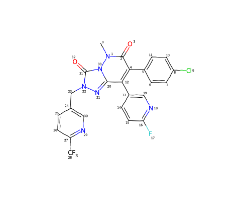 Cn1c(=O)c(-c2ccc(Cl)cc2)c(-c2ccc(F)nc2)c2nn(Cc3ccc(C(F)(F)F)nc3)c(=O)n21